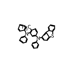 Cc1ccc(N(c2ccccc2)c2ccc3sc4ccccc4c3c2)cc1N(c1ccccc1)c1ccccc1